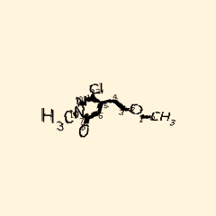 CCOC=Cc1cc(=O)n(C)nc1Cl